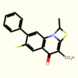 CC1Sc2c(C(=O)O)c(=O)c3cc(F)c(-c4ccccc4)cc3n21